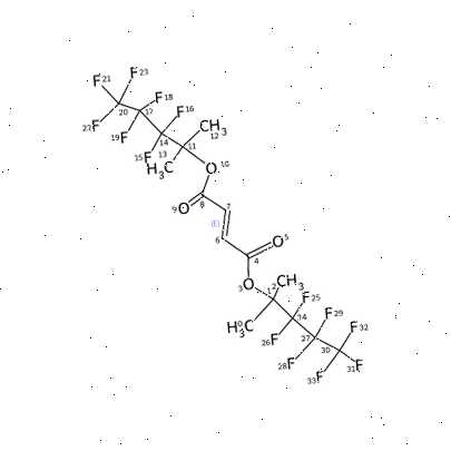 CC(C)(OC(=O)/C=C/C(=O)OC(C)(C)C(F)(F)C(F)(F)C(F)(F)F)C(F)(F)C(F)(F)C(F)(F)F